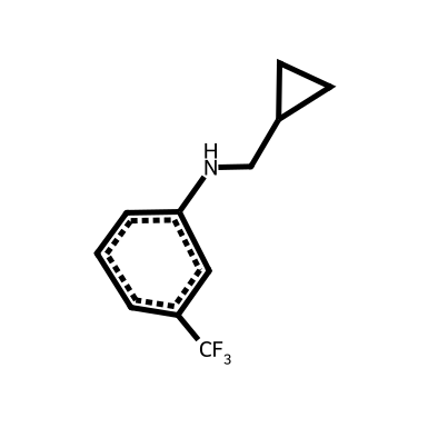 FC(F)(F)c1cccc(NCC2CC2)c1